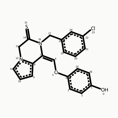 Oc1ccc(O/C=C2\c3cccn3CC(=S)N2Cc2cccc(Cl)c2)cc1